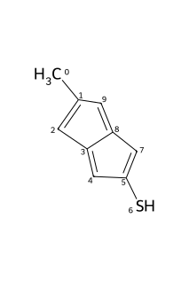 CC1=CC2=CC(S)=CC2=C1